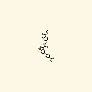 CCOC(=O)c1ccc(CNC(=O)c2nn(C)c3ccc(-c4ccc(C(=O)N(C)C)cc4)cc23)cc1C